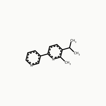 Cc1nc(-c2cccnc2)ccc1C(C)C